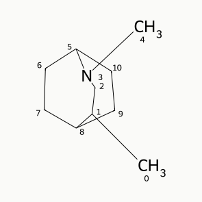 CC1CN(C)C2CCC1CC2